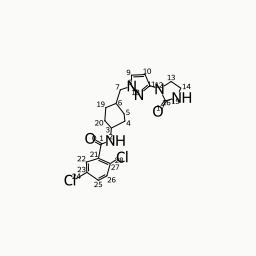 O=C(NC1CCC(Cn2ccc(N3CCNC3=O)n2)CC1)c1cc(Cl)ccc1Cl